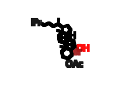 CC(=O)O[C@H]1CC[C@]2(C)[C@H]3CC[C@]4(C)[C@@H]([C@H](C)CCCC(C)C)CC[C@H]4[C@@H]3C[C@@H](O)[C@@]2(Br)C1